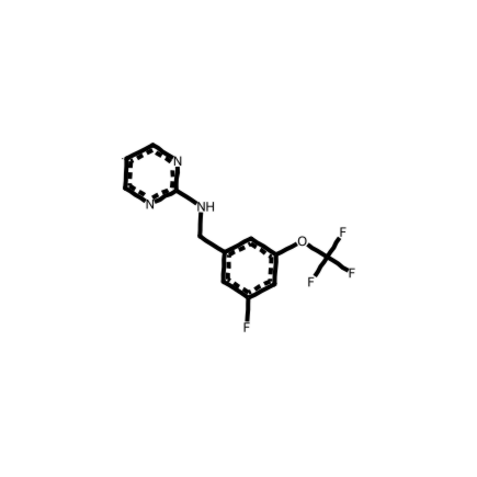 Fc1cc(CNc2nc[c]cn2)cc(OC(F)(F)F)c1